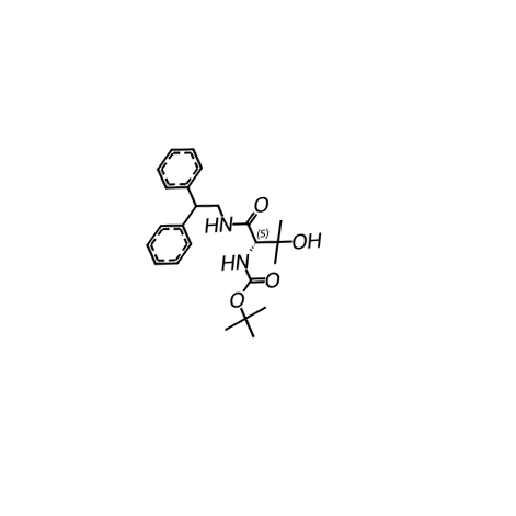 CC(C)(C)OC(=O)N[C@H](C(=O)NCC(c1ccccc1)c1ccccc1)C(C)(C)O